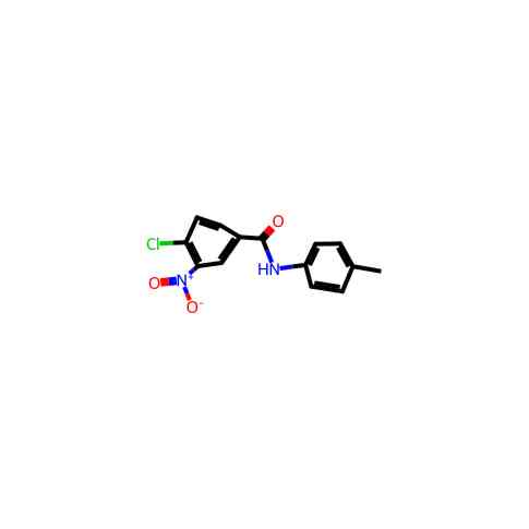 Cc1ccc(NC(=O)c2ccc(Cl)c([N+](=O)[O-])c2)cc1